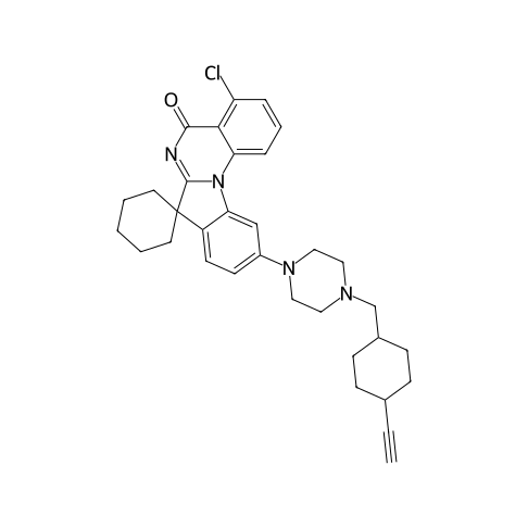 C#CC1CCC(CN2CCN(c3ccc4c(c3)-n3c(nc(=O)c5c(Cl)cccc53)C43CCCCC3)CC2)CC1